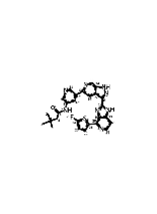 CC(C)(C)CC(=O)Nc1cncc(-c2cc3c(-c4nc5c(-c6ccc(F)s6)nccc5[nH]4)n[nH]c3cn2)c1